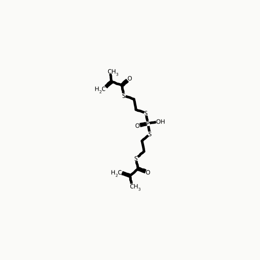 C=C(C)C(=O)SCCSP(=O)(O)SCCSC(=O)C(=C)C